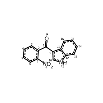 O=C(c1ccccc1[N+](=O)[O-])c1c[nH]c2ccccc12